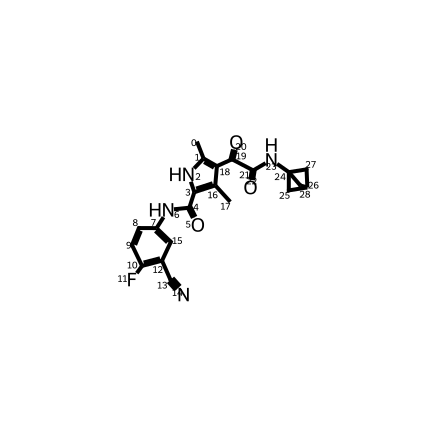 Cc1[nH]c(C(=O)Nc2ccc(F)c(C#N)c2)c(C)c1C(=O)C(=O)NC12CC(C1)C2